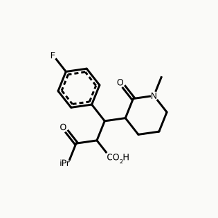 CC(C)C(=O)C(C(=O)O)C(c1ccc(F)cc1)C1CCCN(C)C1=O